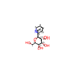 OC[C@H]1OC(C2CC3CCN2CC3)[C@H](O)[C@@H](O)[C@H]1O